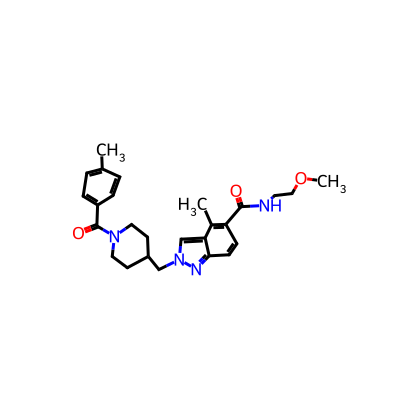 COCCNC(=O)c1ccc2nn(CC3CCN(C(=O)c4ccc(C)cc4)CC3)cc2c1C